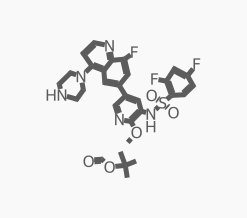 CC(C)(C)OC=O.COc1ncc(-c2cc(F)c3nccc(N4CCNCC4)c3c2)cc1NS(=O)(=O)c1ccc(F)cc1F